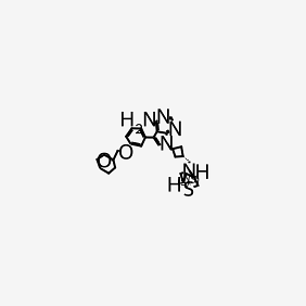 Nc1ncnc2c1c(-c1cccc(OCC34CCC(CC3)O4)c1)cn2[C@H]1C[C@@H](CN2C[C@@H]3C[C@H]2CS3)C1